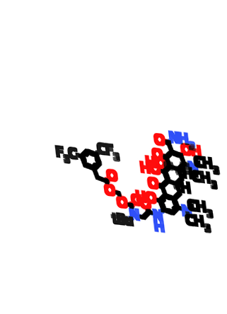 CN(C)c1cc(NC(=O)CN(C(=O)OCOC(=O)Cc2cc(C(F)(F)F)cc(C(F)(F)F)c2)C(C)(C)C)c(O)c2c1C[C@H]1C[C@H]3[C@H](N(C)C)C(O)=C(C(N)=O)C(=O)[C@@]3(O)C(O)=C1C2=O